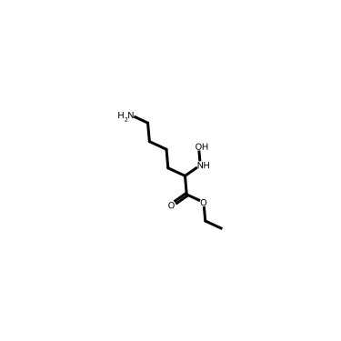 CCOC(=O)C(CCCCN)NO